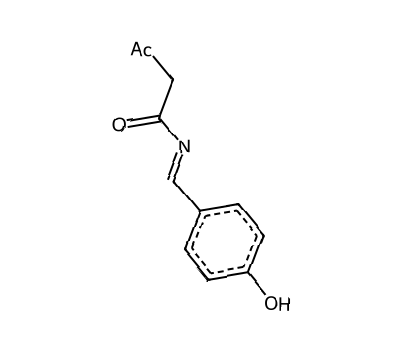 CC(=O)CC(=O)N=Cc1ccc(O)cc1